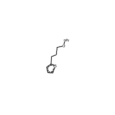 [CH2]CCOCCCc1cccs1